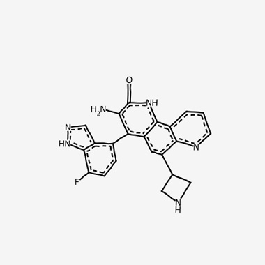 Nc1c(-c2ccc(F)c3[nH]ncc23)c2cc(C3CNC3)c3ncccc3c2[nH]c1=O